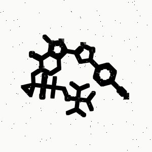 CC(C)[Si](OCC(C)(C)S(=O)(=O)C1(CN2CCc3c(C4=NOC(c5ccc(C#N)cc5)C4)nn(C)c3C2=O)CC1)(C(C)C)C(C)C